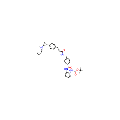 CN(CC1CC1)C1CC1c1ccc(/C=C/C(=O)NCc2ccc(C(=O)Nc3ccccc3NC(=O)OC(C)(C)C)cc2)cc1